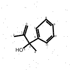 C=C(C)C(C)(O)c1ccccc1